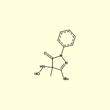 CC(C)(C)C1=NN(c2ccccc2)C(=O)C1(C)NO